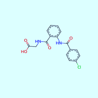 O=C(O)CNC(=O)c1ccccc1NC(=O)c1ccc(Cl)cc1